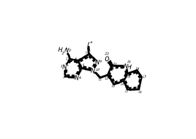 Nc1ncnc2c1c(I)nn2Cc1cc2ccccc2[nH]c1=O